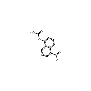 CC(=O)Oc1cccc2c([N+](=O)[O-])cncc12